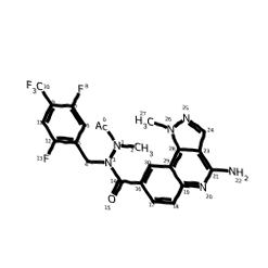 CC(=O)N(C)N(Cc1cc(F)c(C(F)(F)F)cc1F)C(=O)c1ccc2nc(N)c3cnn(C)c3c2c1